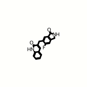 O=C1NCc2cc(F)c(Cc3cc4ccccc4[nH]c3=O)cc21